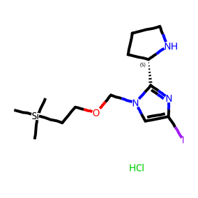 C[Si](C)(C)CCOCn1cc(I)nc1[C@@H]1CCCN1.Cl